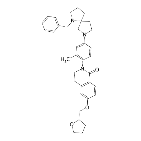 Cc1cc(N2CCC3(CCCN3Cc3ccccc3)C2)ccc1N1CCc2cc(OC[C@@H]3CCCO3)ccc2C1=O